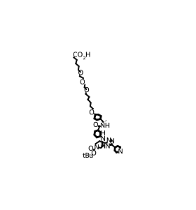 C[C@H](NC(=O)c1cccc(NC2(c3nnc(-c4ccncc4)[nH]3)CCN(C(=O)OC(C)(C)C)CC2)c1)c1ccc(OCCCCCCOCCOCCOCCCCCC(=O)O)cc1